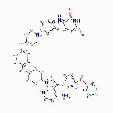 Nc1ncnc2c1c(-c1ccc(Oc3ccccc3)cc1)nn2C1CCN(CC2CCN(CC3CCN(c4ccc(NC5CCC(=O)NC5=O)cc4)CC3)CC2)CC1